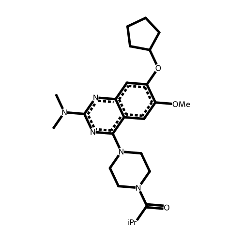 COc1cc2c(N3CCN(C(=O)C(C)C)CC3)nc(N(C)C)nc2cc1OC1CCCC1